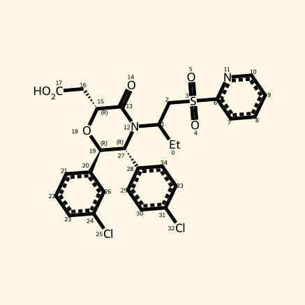 CCC(CS(=O)(=O)c1ccccn1)N1C(=O)[C@@H](CC(=O)O)O[C@H](c2cccc(Cl)c2)[C@H]1c1ccc(Cl)cc1